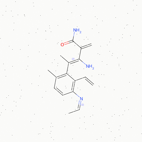 C=Cc1c(/N=C\C)ccc(C)c1/C(C)=C(\N)C(=C)C(N)=O